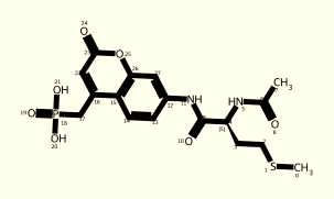 CSCC[C@H](NC(C)=O)C(=O)Nc1ccc2c(CP(=O)(O)O)cc(=O)oc2c1